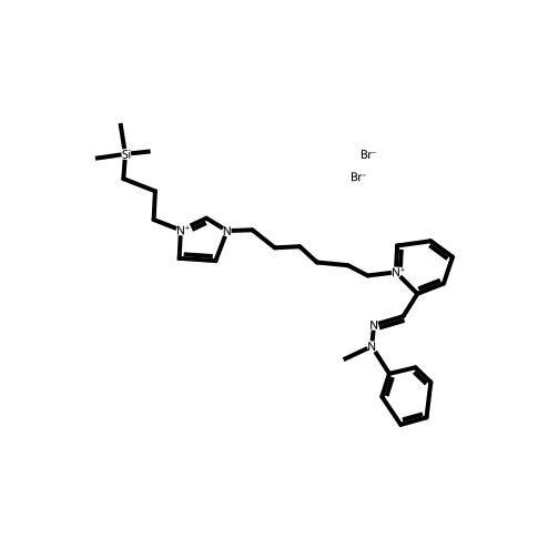 CN(/N=C/c1cccc[n+]1CCCCCCn1cc[n+](CCC[Si](C)(C)C)c1)c1ccccc1.[Br-].[Br-]